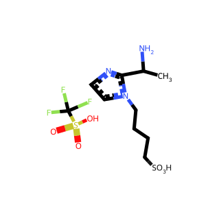 CC(N)c1nccn1CCCCS(=O)(=O)O.O=S(=O)(O)C(F)(F)F